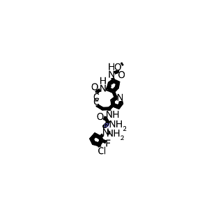 COC(=O)Nc1ccc2c(c1)NC(=O)CCCCC(NC(=O)/C(N)=C/N(N)c1cccc(Cl)c1F)c1ccnc-2c1